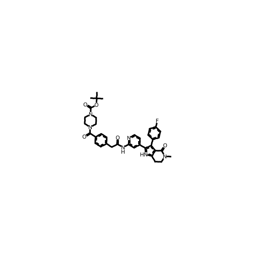 CN1CCc2[nH]c(-c3ccnc(NC(=O)Cc4ccc(C(=O)N5CCN(C(=O)OC(C)(C)C)CC5)cc4)c3)c(-c3ccc(F)cc3)c2C1=O